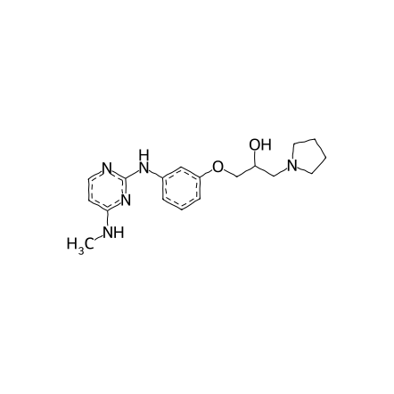 CNc1ccnc(Nc2cccc(OCC(O)CN3CCCC3)c2)n1